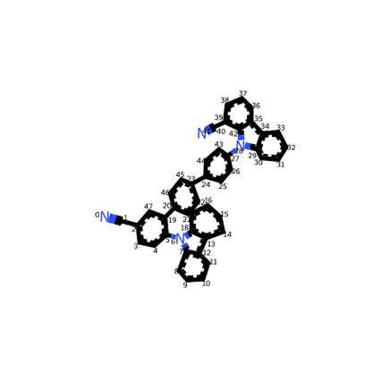 N#Cc1ccc(-n2c3ccccc3c3ccccc32)c(-c2ccc(-c3ccc(-n4c5ccccc5c5cccc(C#N)c54)cc3)cc2)c1